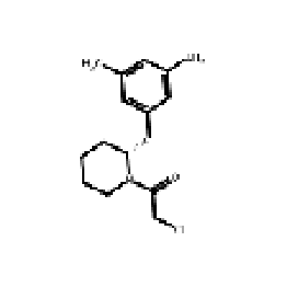 Cc1cc(C)cc(C[C@H]2CCCCN2C(=O)CCl)c1